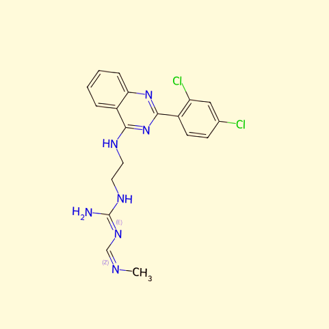 C/N=C\N=C(/N)NCCNc1nc(-c2ccc(Cl)cc2Cl)nc2ccccc12